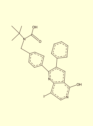 CC(C)(C)N(Cc1ccc(-c2nc3c(I)cnc(O)c3cc2-c2ccccc2)cc1)C(=O)O